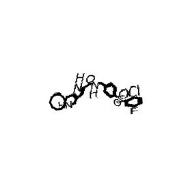 O=C(NCc1ccc(S(=O)(=O)c2cc(F)ccc2Cl)cc1)c1cc2c([nH]1)CC1(CCCCCCCCC1)NC2